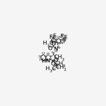 COC(=O)N(CCC(C)C(Cc1ccccc1)C(=N)C(=O)OC(C)(C)C)Cc1cc(C(F)(F)F)cc(C(F)(F)F)c1